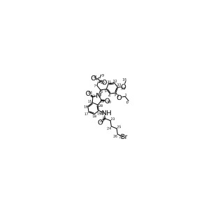 CCOc1cc(C(CS(C)(=O)=O)N2C(=O)c3cccc(NC(=O)CCCCBr)c3C2=O)ccc1OC